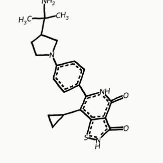 CC(C)(N)C1CCN(c2ccc(-c3[nH]c(=O)c4c(=O)[nH]sc4c3C3CC3)cc2)C1